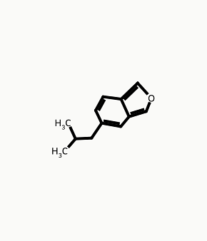 CC(C)Cc1ccc2cocc2c1